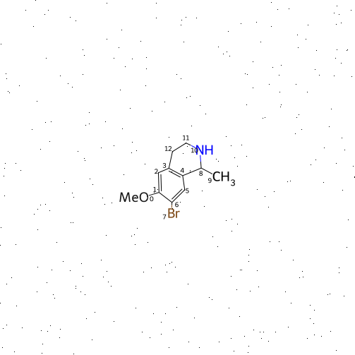 COc1cc2c(cc1Br)C(C)NCC2